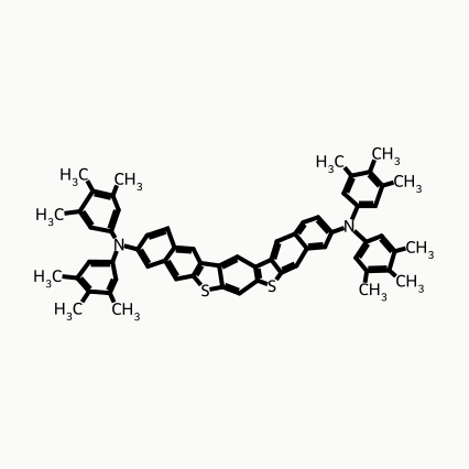 Cc1cc(N(c2cc(C)c(C)c(C)c2)c2ccc3cc4c(cc3c2)sc2cc3sc5cc6cc(N(c7cc(C)c(C)c(C)c7)c7cc(C)c(C)c(C)c7)ccc6cc5c3cc24)cc(C)c1C